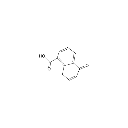 O=C(O)c1cccc2c1CC=CC2=O